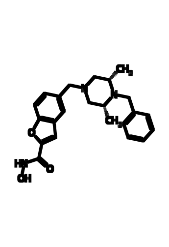 C[C@@H]1CN(Cc2ccc3oc(C(=O)NO)cc3c2)C[C@H](C)N1Cc1ccccc1